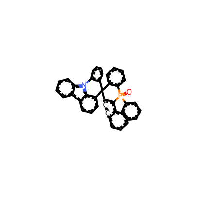 O=P1(c2ccccc2)c2ccccc2C2(c3ccccc3-n3c4ccccc4c4cccc2c43)c2ccc3ccccc3c21